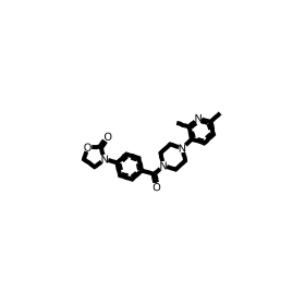 Cc1ccc(N2CCN(C(=O)c3ccc(N4CCOC4=O)cc3)CC2)c(C)n1